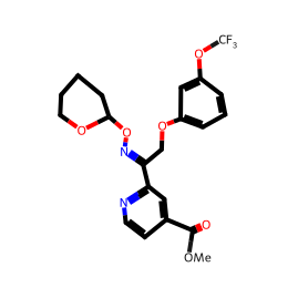 COC(=O)c1ccnc(/C(COc2cccc(OC(F)(F)F)c2)=N/OC2CCCCO2)c1